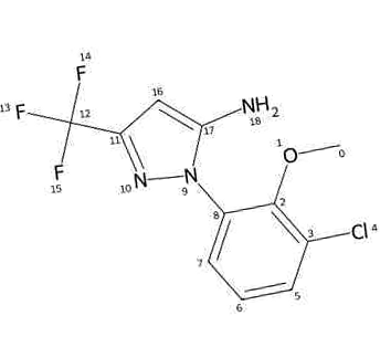 COc1c(Cl)cccc1-n1nc(C(F)(F)F)cc1N